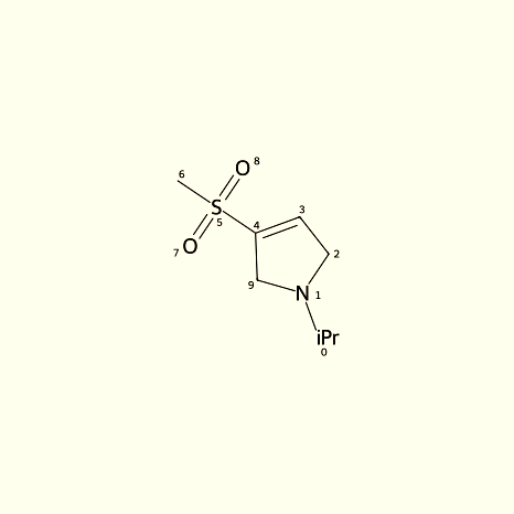 CC(C)N1CC=C(S(C)(=O)=O)C1